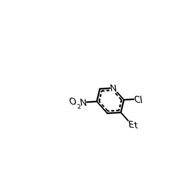 CCc1cc([N+](=O)[O-])cnc1Cl